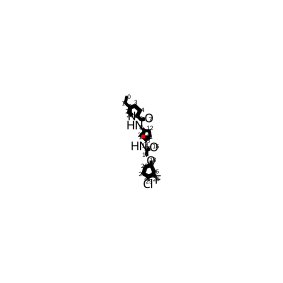 CCc1ccc(C(=O)NC23CC(C2)C(NC(=O)COc2ccc(Cl)c(F)c2)C3)nc1